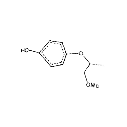 COC[C@@H](C)Oc1ccc(O)cc1